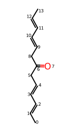 CC=CC=CCC(=O)CC=CC=CC